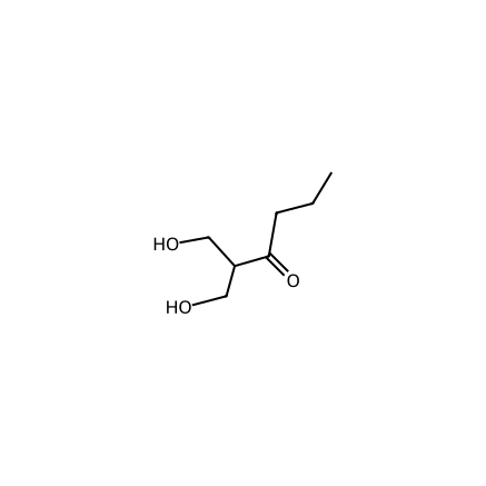 CCCC(=O)C(CO)CO